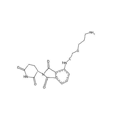 NCCCOCCNc1cccc2c1C(=O)N(C1CCC(=O)NC1=O)C2=O